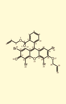 C=CCOC(=O)c1ccccc1-c1c2cc(Br)c(=O)c(Br)c-2oc2c(Br)c(OCC=C)c(Br)cc12